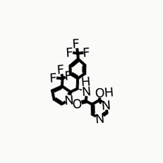 O=C(N[C@@H](c1ccc(C(F)(F)F)cc1)c1ncccc1C(F)(F)F)c1cncnc1O